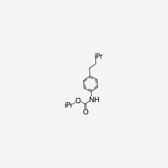 CC(C)CCc1ccc(NC(=O)OC(C)C)cc1